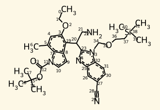 CCOc1cc(C)c2c(ccn2C(=O)OC(C)(C)C)c1C(CN)c1nc2cc(C#N)ccc2n1COCC[Si](C)(C)C